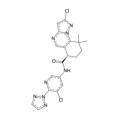 CC1(C)CC[C@@H](C(=O)Nc2cnc(-n3nccn3)c(Cl)c2)c2cnc3cc(Cl)nn3c21